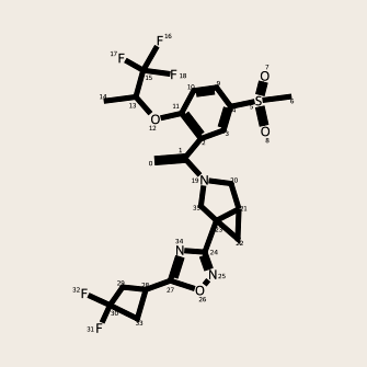 C=C(c1cc(S(C)(=O)=O)ccc1OC(C)C(F)(F)F)N1CC2CC2(c2noc(C3CC(F)(F)C3)n2)C1